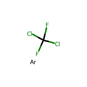 FC(F)(Cl)Cl.[Ar]